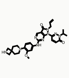 C=CCn1c(=O)c2cnc(Nc3ccc(N4CCC5(CC4)CNC5)c(OC)c3)nc2n1-c1ccc(=O)n(C(C)C)n1